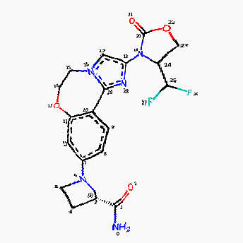 NC(=O)[C@@H]1CCN1c1ccc2c(c1)OCCn1cc(N3C(=O)OCC3C(F)F)nc1-2